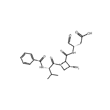 CC(C)[C@H](NC(=O)c1ccccc1)C(=O)N1C[C@H](P)C1C(=O)N[C@H](C=O)CC(=O)O